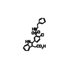 O=C(O)Cc1c(-c2ccc(Cl)c(S(=O)(=O)NCCc3ccccc3)c2)[nH]c2ccccc12